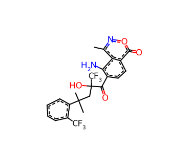 Cc1noc(=O)c2ccc(C(=O)C(O)(CC(C)(C)c3ccccc3C(F)(F)F)C(F)(F)F)c(N)c12